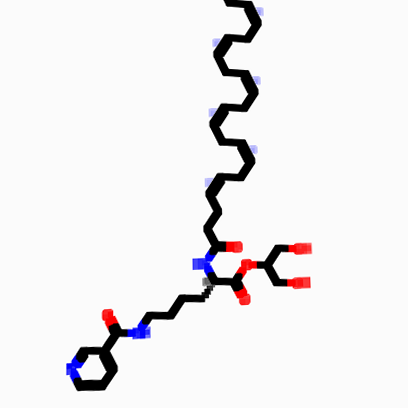 CC/C=C\C/C=C\C/C=C\C/C=C\C/C=C\C/C=C\CCC(=O)N[C@@H](CCCCNC(=O)c1cccnc1)C(=O)OC(CO)CO